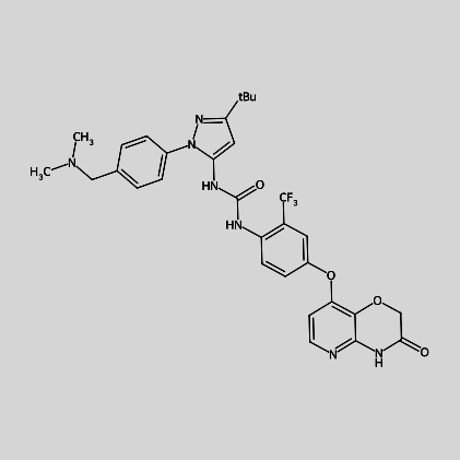 CN(C)Cc1ccc(-n2nc(C(C)(C)C)cc2NC(=O)Nc2ccc(Oc3ccnc4c3OCC(=O)N4)cc2C(F)(F)F)cc1